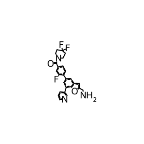 NCc1cc2cc(-c3ccc(C(=O)N4CCC(F)(F)CC4)cc3F)cc(-c3cccnc3)c2o1